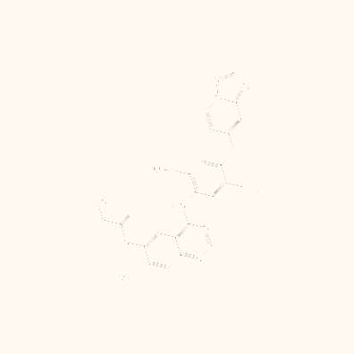 COc1cc2ncnc(Nc3cc(C)c(Oc4ccn5ncnc5c4)cc3OC)c2cc1NC(=O)CC#N